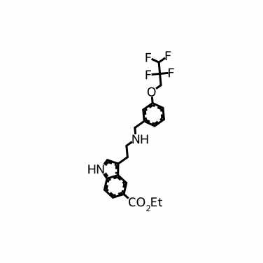 CCOC(=O)c1ccc2[nH]cc(CCNCc3cccc(OCC(F)(F)C(F)F)c3)c2c1